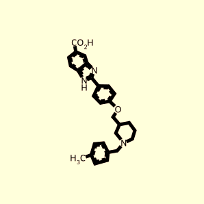 Cc1ccc(CN2CCCC(COc3ccc(-c4nc5cc(C(=O)O)ccc5[nH]4)cc3)C2)cc1